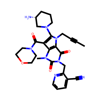 CC#CCn1c(N2CCC[C@@H](N)C2)c(C(=O)N2CCOCC2)c2c1c(=O)n(Cc1ncccc1C#N)c(=O)n2C